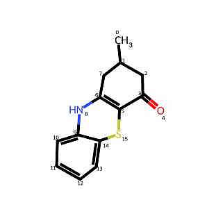 CC1CC(=O)C2=C(C1)Nc1ccccc1S2